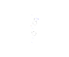 CN1CCN(c2ccc3c(c2)CN(C(=O)c2cc4c(CN5CCCCC5)n[nH]c4cc2O)C3)CC1